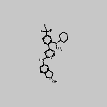 CN(c1cc(C(F)(F)F)ccc1-c1cc(Nc2ccc3c(c2)C[C@H](O)C3)ncn1)C1CCCCC1